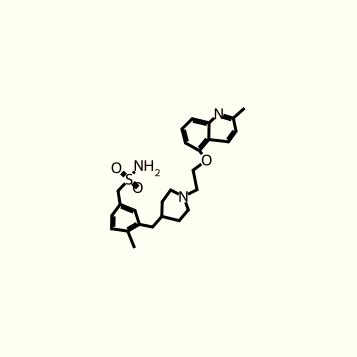 Cc1ccc2c(OCCN3CCC(Cc4cc(CS(N)(=O)=O)ccc4C)CC3)cccc2n1